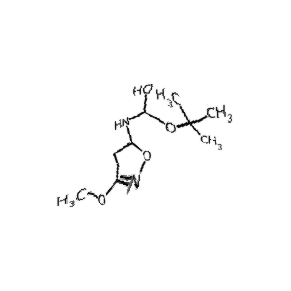 COC1=NOC(NC(O)OC(C)(C)C)C1